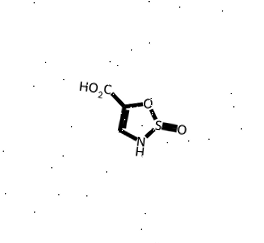 O=C(O)C1=CNS(=O)O1